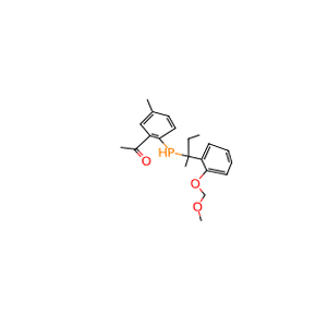 CCC(C)(Pc1ccc(C)cc1C(C)=O)c1ccccc1OCOC